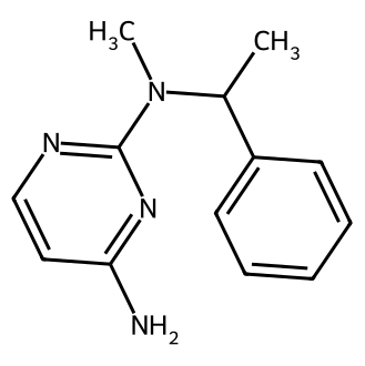 CC(c1ccccc1)N(C)c1nccc(N)n1